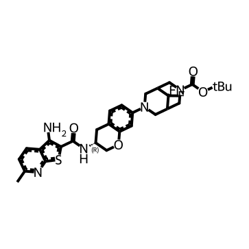 Cc1ccc2c(N)c(C(=O)N[C@H]3COc4cc(N5CC6CN(C(=O)OC(C)(C)C)CC(C5)C6(F)F)ccc4C3)sc2n1